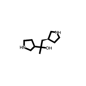 CC(O)(C[C@@H]1CCNC1)C1CCNC1